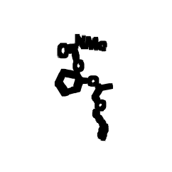 C=CCOCC(C)Oc1ccccc1OC(=O)NC